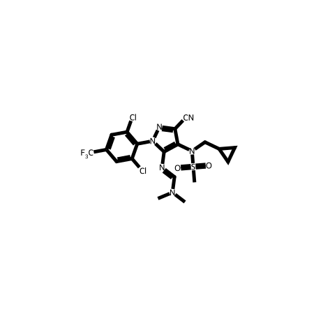 CN(C)C=Nc1c(N(CC2CC2)S(C)(=O)=O)c(C#N)nn1-c1c(Cl)cc(C(F)(F)F)cc1Cl